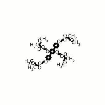 C=C(COC)C(=O)OCCOc1ccc(-c2cc(OCCOC(=O)C(=C)COC)c(-c3ccc(OCCOC(=O)C(=C)COC)cc3)cc2OCCOC(=O)C(=C)COC)cc1